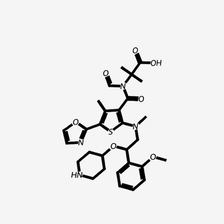 COc1ccccc1C(CN(C)c1sc(-c2ncco2)c(C)c1C(=O)N(C=O)C(C)(C)C(=O)O)OC1CCNCC1